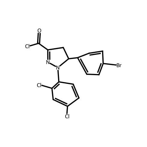 O=C(Cl)C1=NN(c2ccc(Cl)cc2Cl)C(c2ccc(Br)cc2)C1